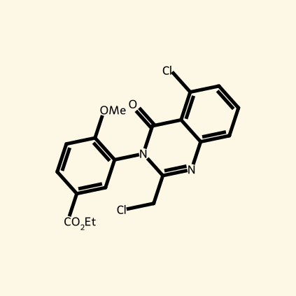 CCOC(=O)c1ccc(OC)c(-n2c(CCl)nc3cccc(Cl)c3c2=O)c1